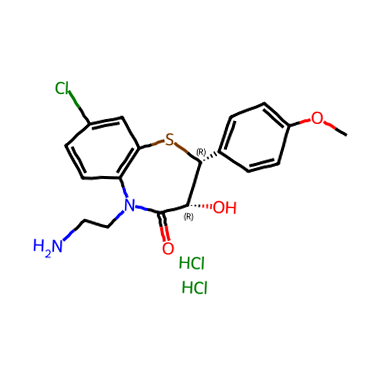 COc1ccc([C@H]2Sc3cc(Cl)ccc3N(CCN)C(=O)[C@H]2O)cc1.Cl.Cl